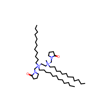 CCCCCCCCCCCC[N+](C)(CC[N+](CCCCCCCCCCCC)(CCCCCCCCCCCC)CN1CCCC1=O)CN1CCCC1=O